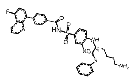 NCCCC[C@H](CSc1ccccc1)Nc1ccc(S(=O)(=O)NC(=O)c2ccc(-c3ccc(F)c4cccnc34)cc2)cc1[N+](=O)[O-]